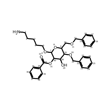 NCCCCCOC1OC(COCc2ccccc2)C(OCc2ccccc2)C(O)C1OC(=O)c1ccccc1